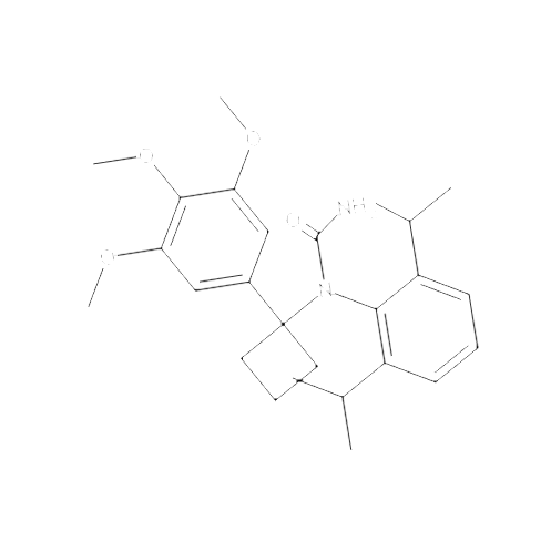 COc1cc(C2(N(C(N)=O)c3c(C(C)C)cccc3C(C)C)CCC2)cc(OC)c1OC